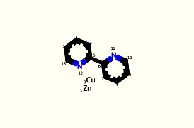 [Cu].[Zn].c1ccc(-c2ccccn2)nc1